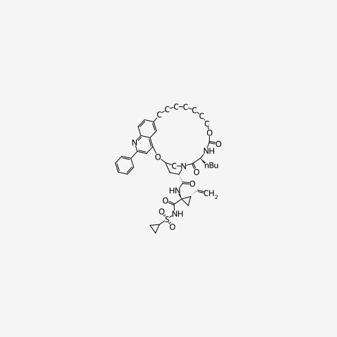 C=C[C@@H]1C[C@]1(NC(=O)[C@@H]1CC2CN1C(=O)[C@H](CCCC)NC(=O)OCCCCCCCc1ccc3nc(-c4ccccc4)cc(c3c1)O2)C(=O)NS(=O)(=O)C1CC1